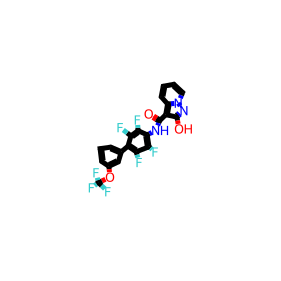 O=C(Nc1c(F)c(F)c(-c2cccc(OC(F)(F)F)c2)c(F)c1F)c1c(O)nn2ccccc12